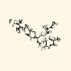 CN1CC(N2Cc3cn(S(=O)(=O)C(F)(F)F)nc3C2)CC(NC(=O)OC(C)(C)C)[C@H]1c1cc(F)ccc1F